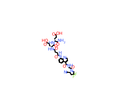 N#CC1CC(F)(F)CN1C(=O)CNC(=O)c1ccnc2c(NC(=O)CCC(=O)N[C@@H](CCC(=O)O)C(=O)N[C@@H](CCC(=O)O)C(N)=O)cccc12